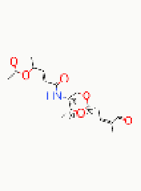 CC(=O)OC(C)C=CC(=O)N[C@@H]1CO[C@H](CC=C(C)C=O)O[C@@H]1C